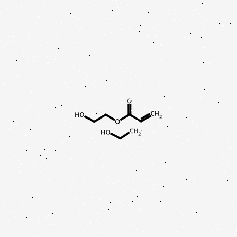 C=CC(=O)OCCO.[CH2]CO